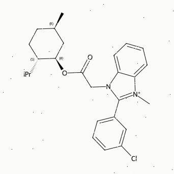 CC(C)[C@@H]1CC[C@@H](C)C[C@H]1OC(=O)Cn1c(-c2cccc(Cl)c2)[n+](C)c2ccccc21